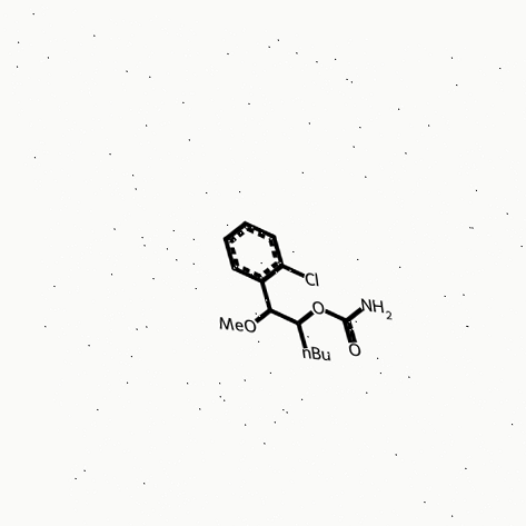 CCCCC(OC(N)=O)C(OC)c1ccccc1Cl